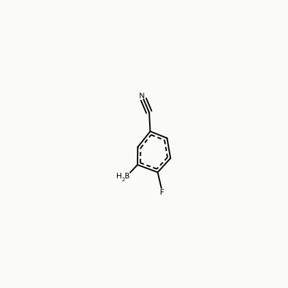 Bc1cc(C#N)ccc1F